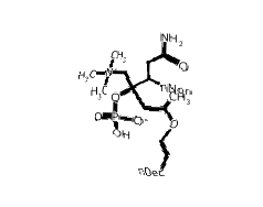 CCCCCCCCCCCCOC(C)CC(C[N+](C)(C)C)(OP(=O)([O-])O)C(CCCCCCCCC)CC(N)=O